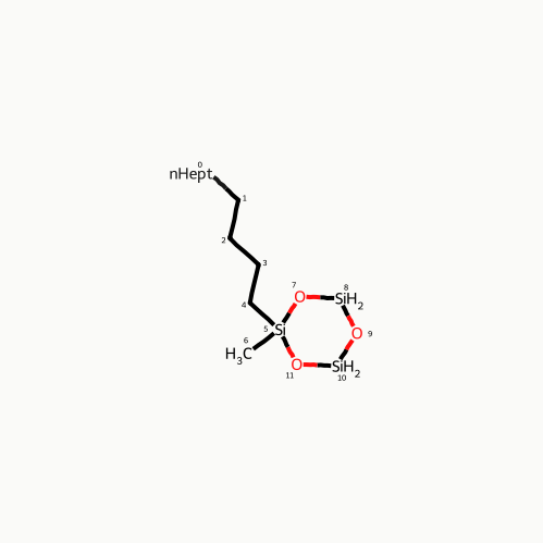 CCCCCCCCCCC[Si]1(C)O[SiH2]O[SiH2]O1